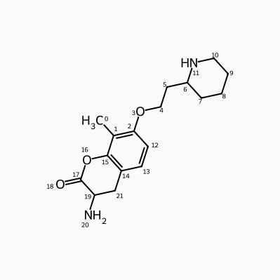 Cc1c(OCCC2CCCCN2)ccc2c1OC(=O)C(N)C2